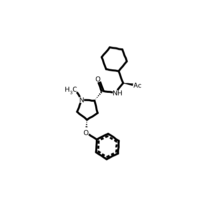 CC(=O)[C@@H](NC(=O)[C@@H]1C[C@H](Oc2ccccc2)CN1C)C1CCCCC1